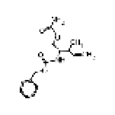 C=C[C@H](C)[C@H](COC(N)=O)NC(=O)OCc1ccccc1